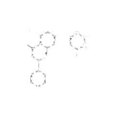 Cc1nc(Cl)cc(Oc2cc(O)c3c(=O)cc(-c4ccccc4)oc3c2)n1